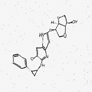 O[C@@H]1CO[C@H]2C1OC[C@H]2Oc1nc2nc(N[C@H]3C[C@@H]3c3ccccc3)c(Cl)cc2[nH]1